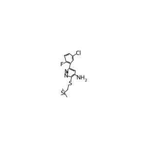 C[Si](C)(C)CCSc1nnc(-c2cc(Cl)ccc2F)cc1N